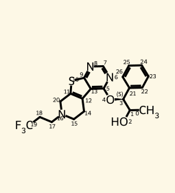 CC(O)[C@@H](Oc1ncnc2sc3c(c12)CCN(CCC(F)(F)F)C3)c1ccccc1